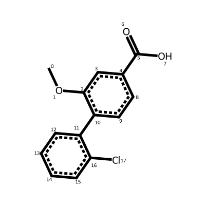 COc1cc(C(=O)O)ccc1-c1ccccc1Cl